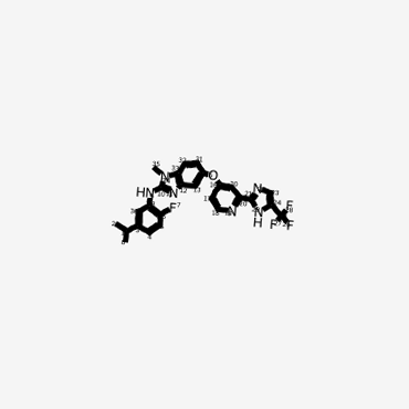 CC(C)c1ccc(F)c(Nc2nc3cc(Oc4ccnc(-c5ncc(C(F)(F)F)[nH]5)c4)ccc3n2C)c1